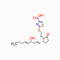 CCC/C=C/C(O)C/C=C/[C@H]1CCC(=O)[C@@H]1CCSc1nc(C(=O)O)cs1